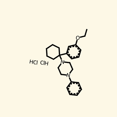 CCOc1cccc(C2(N3CCN(c4ccccc4)CC3)CCCCC2)c1.Cl.Cl